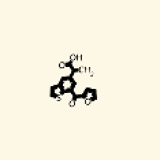 CC(C(=O)O)c1cc(C(=O)c2ccco2)c2sccc2c1